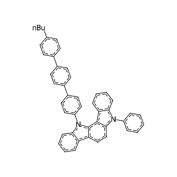 CCCCc1ccc(-c2ccc(-c3ccc(-n4c5ccccc5c5ccc6c(c7ccccc7n6-c6ccccc6)c54)cc3)cc2)cc1